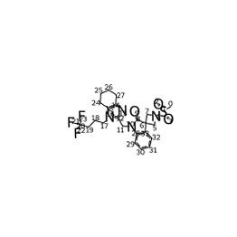 CS(=O)(=O)N1CC2(C1)C(=O)N(Cc1nc3c(n1CCCC(F)(F)F)CCCC3)c1ccccc12